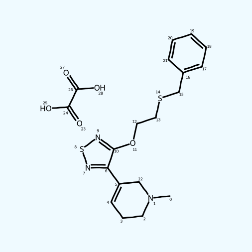 CN1CCC=C(c2nsnc2OCCSCc2ccccc2)C1.O=C(O)C(=O)O